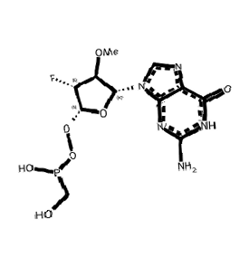 COC1[C@@H](F)[C@@H](OOP(O)CO)O[C@H]1n1cnc2c(=O)[nH]c(N)nc21